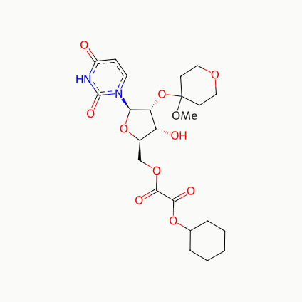 COC1(O[C@@H]2[C@H](O)[C@@H](COC(=O)C(=O)OC3CCCCC3)O[C@H]2n2ccc(=O)[nH]c2=O)CCOCC1